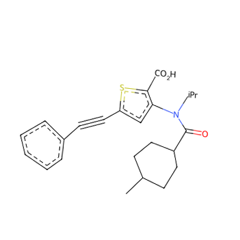 CC1CCC(C(=O)N(c2cc(C#Cc3ccccc3)sc2C(=O)O)C(C)C)CC1